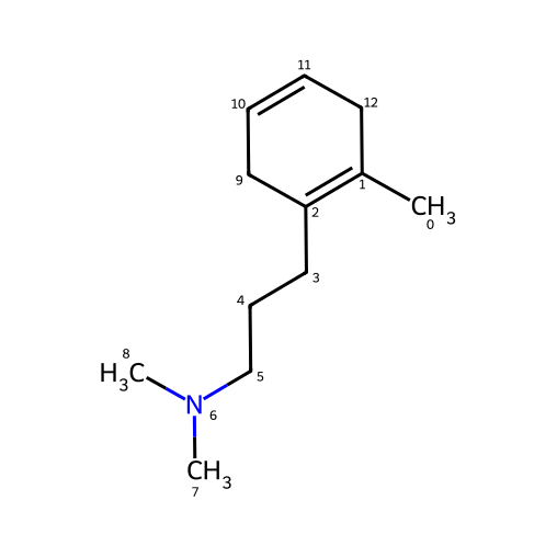 CC1=C(CCCN(C)C)CC=CC1